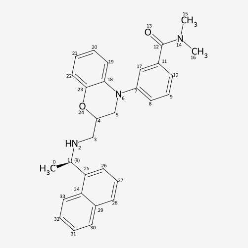 C[C@@H](NCC1CN(c2cccc(C(=O)N(C)C)c2)c2ccccc2O1)c1cccc2ccccc12